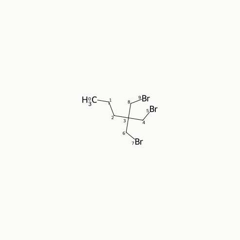 C[CH]CC(CBr)(CBr)CBr